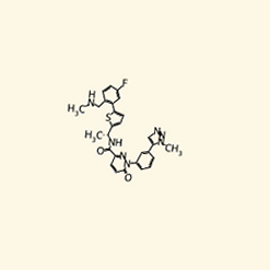 CNCc1ccc(F)cc1-c1ccc([C@@H](C)NC(=O)c2ccc(=O)n(-c3cccc(-c4cnnn4C)c3)n2)s1